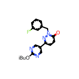 CC(C)COc1ncc(-c2ccc(=O)n(Cc3cccc(F)c3)n2)cn1